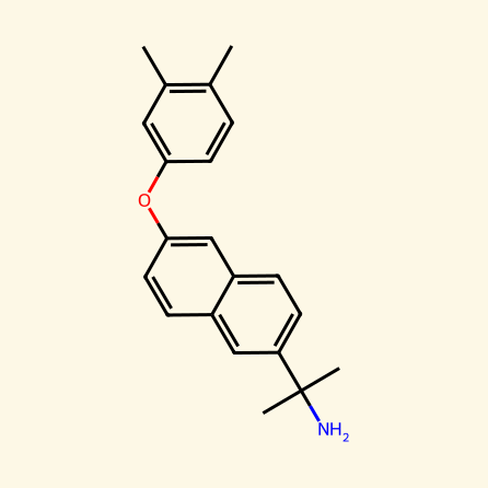 Cc1ccc(Oc2ccc3cc(C(C)(C)N)ccc3c2)cc1C